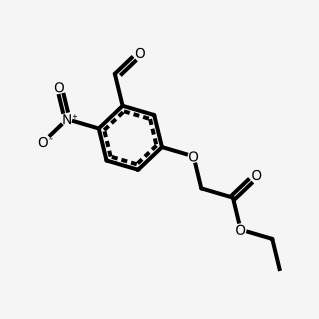 CCOC(=O)COc1ccc([N+](=O)[O-])c(C=O)c1